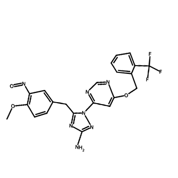 COc1ccc(Cc2nc(N)nn2-c2cc(OCc3ccccc3C(F)(F)F)ncn2)cc1N=O